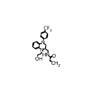 C=CC(=O)NCC1CN(c2ccc(C(F)(F)F)cc2)c2ccccc2N1CCO